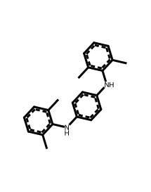 Cc1cccc(C)c1Nc1ccc(Nc2c(C)cccc2C)cc1